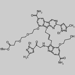 CCn1nc(C)cc1C(=O)CNc1nc2cc(C(N)=O)cc(OCCCO)c2n1C/C=C/Cn1c2nc(-c3cc(C)nn3CC)ncc2c2cc(C(N)=O)cc(OCCOCCOCCC(=O)OC(C)(C)C)c21